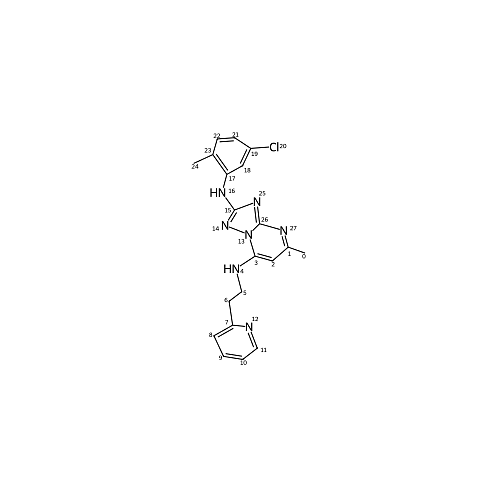 Cc1cc(NCCc2ccccn2)n2nc(Nc3cc(Cl)ccc3C)nc2n1